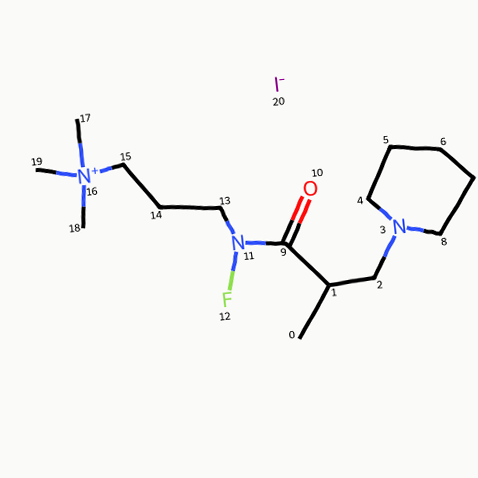 CC(CN1CCCCC1)C(=O)N(F)CCC[N+](C)(C)C.[I-]